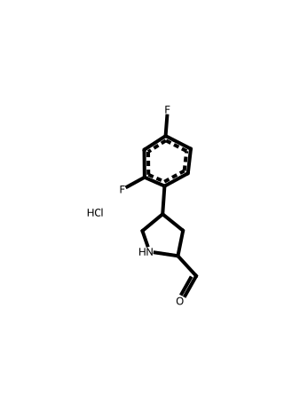 Cl.O=CC1CC(c2ccc(F)cc2F)CN1